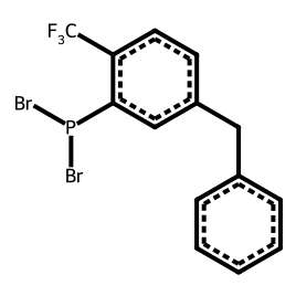 FC(F)(F)c1ccc(Cc2ccccc2)cc1P(Br)Br